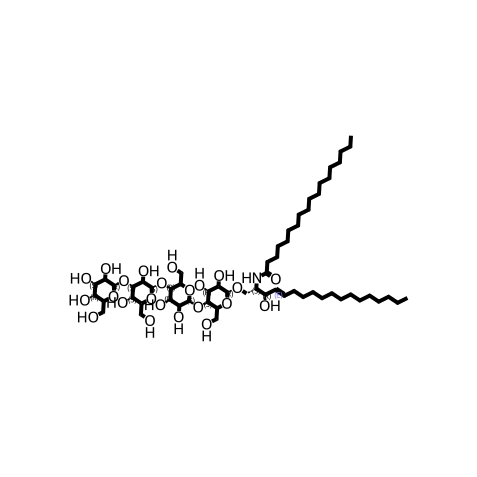 CCCCCCCCCCCCC/C=C/[C@@H](O)[C@H](CO[C@@H]1OC(CO)[C@@H](O[C@@H]2OC(CO)[C@H](O[C@@H]3OC(CO)[C@H](O)[C@H](O[C@H]4OC(CO)[C@H](O)[C@H](O)C4O)C3O)[C@H](O)C2O)[C@H](O)C1O)NC(=O)CCCCCCCCCCCCCCCCC